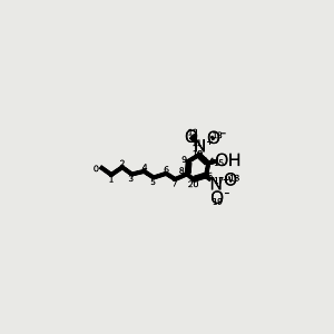 CCCCCCCCc1cc([N+](=O)[O-])c(O)c([N+](=O)[O-])c1